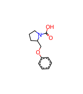 O=C(O)N1CCCC1COc1ccccc1